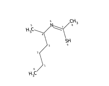 CCCCC(C)/N=C(/C)S